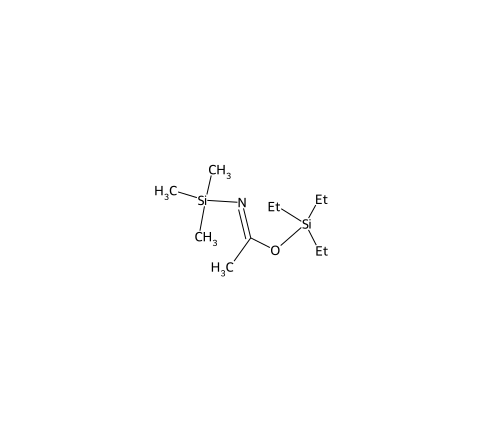 CC[Si](CC)(CC)OC(C)=N[Si](C)(C)C